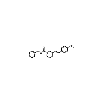 O=C(OCc1ccccc1)N1CCCC(C=Cc2ccc(C(F)(F)F)cc2)C1